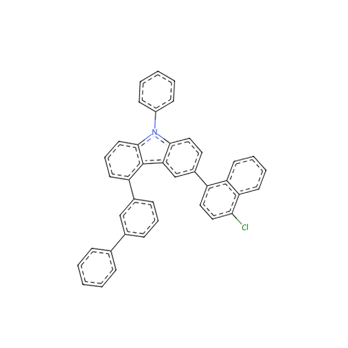 Clc1ccc(-c2ccc3c(c2)c2c(-c4cccc(-c5ccccc5)c4)cccc2n3-c2ccccc2)c2ccccc12